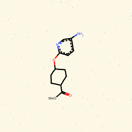 COC(=O)C1CCC(Oc2ccc(N)cn2)CC1